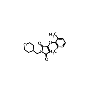 Cc1cccc(C)c1OC1=CC(=O)N(CC2CCOCC2)C1=O